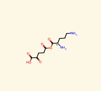 NCCC[C@@H](N)C(=O)OC(=O)CCC(=O)C(=O)O